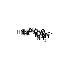 CCCN(CCC)C(=O)C1=Cc2ccc(-c3cccc(SN4CCNCC4)c3)cc2N=C(N)C1